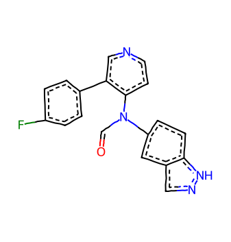 O=CN(c1ccc2[nH]ncc2c1)c1ccncc1-c1ccc(F)cc1